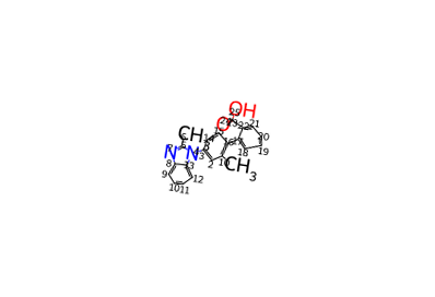 Cc1cc(-n2c(C)nc3ccccc32)ccc1-c1ccccc1C(=O)O